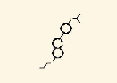 CC(C)Nc1ccc(-c2ccc3cc(OCCF)ccc3n2)cc1